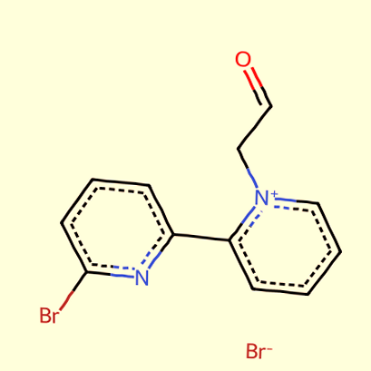 O=CC[n+]1ccccc1-c1cccc(Br)n1.[Br-]